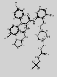 O=C(NCC(F)(F)F)OC[C@@H]1CO[C@H](CCc2c(F)cncc2NC(=O)[C@@H](NC(=O)OC2CCCC2)C(c2ccc(F)cc2)c2ccc(F)cc2)CN1